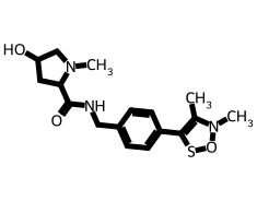 CC1=C(c2ccc(CNC(=O)C3CC(O)CN3C)cc2)SON1C